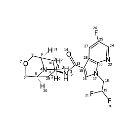 [2H]C([2H])([2H])N1[C@@H]2COC[C@H]1C[C@@H](NC(=O)c1cn(CC(F)F)c3ncc(F)cc13)C2